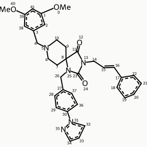 COc1cc(CN2CCC3(CC2)C(=O)N(C/C=C/c2ccccc2)C(=O)N3Cc2ccc(-n3cccn3)cc2)cc(OC)c1